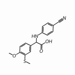 COc1ccc(C(Nc2ccc(C#N)cc2)C(=O)O)cc1SC